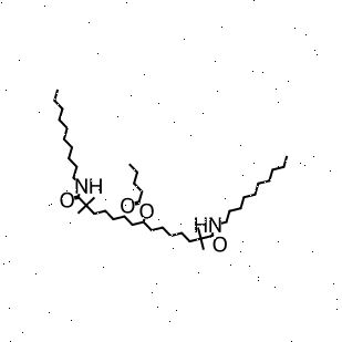 CCCCCCCCCCNC(=O)C(C)(C)CCCCCC(CCCCCC(C)(C)C(=O)NCCCCCCCCCC)OC(=O)CCCC